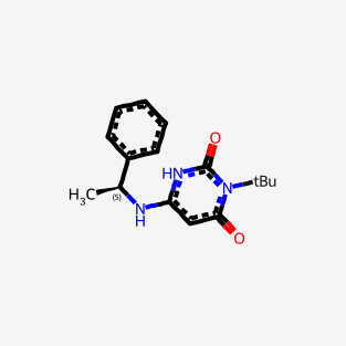 C[C@H](Nc1cc(=O)n(C(C)(C)C)c(=O)[nH]1)c1ccccc1